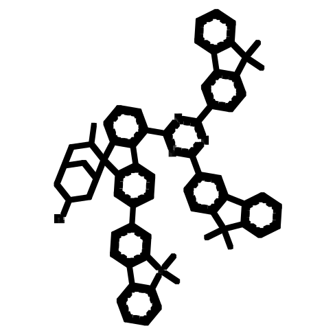 CCC1CC2CC(C)C3(c4cc(-c5ccc6c(c5)S(C)(C)c5ccccc5-6)ccc4-c4c(-c5nc(-c6ccc7c(c6)-c6ccccc6C7(C)C)nc(-c6ccc7c(c6)-c6ccccc6C7(C)C)n5)cccc43)C(C1)C2